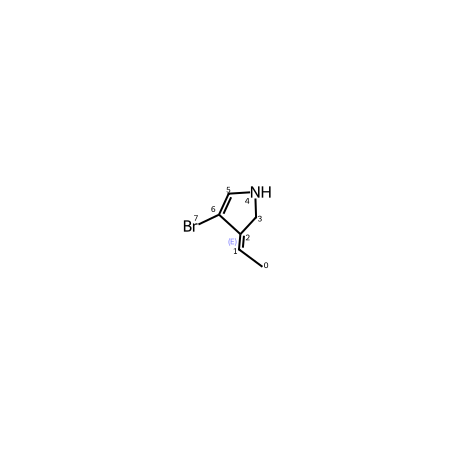 C/C=C1\CNC=C1Br